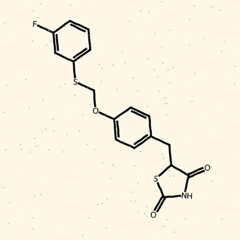 O=C1NC(=O)C(Cc2ccc(OCSc3cccc(F)c3)cc2)S1